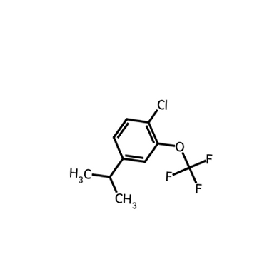 CC(C)c1ccc(Cl)c(OC(F)(F)F)c1